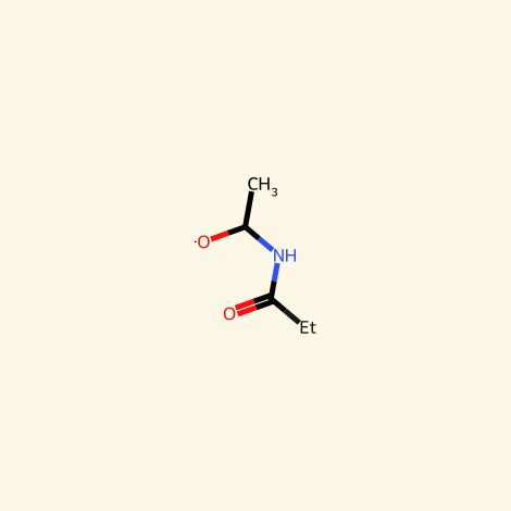 CCC(=O)NC(C)[O]